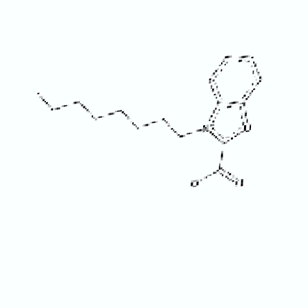 CCCCCCCC[n+]1c(C(=O)[O-])oc2ccccc21